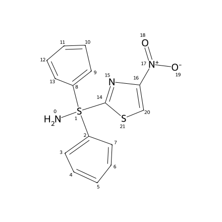 NS(c1ccccc1)(c1ccccc1)c1nc([N+](=O)[O-])cs1